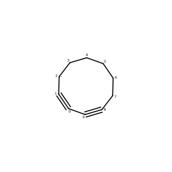 C1#C[CH]CCCCCC#C1